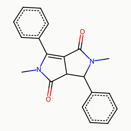 CN1C(=O)C2C(=C1c1ccccc1)C(=O)N(C)C2c1ccccc1